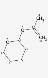 C=C(C)OC1CCCCO1